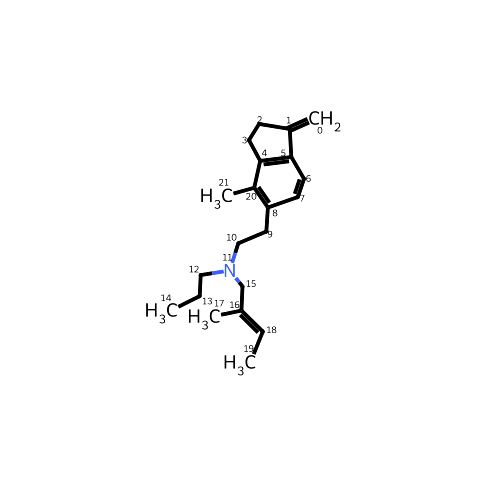 C=C1CCc2c1ccc(CCN(CCC)C/C(C)=C/C)c2C